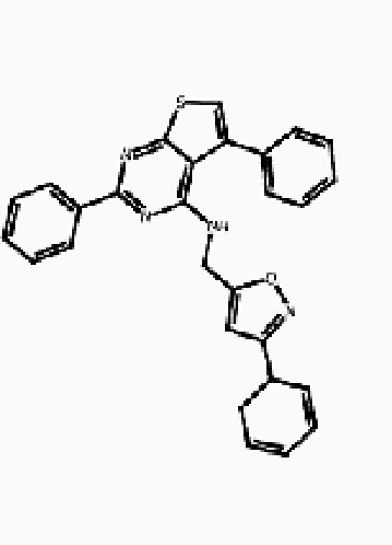 C1=CCC(c2cc(CNc3nc(-c4ccccc4)nc4scc(-c5ccccc5)c34)on2)C=C1